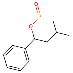 CC(C)CC(OP=O)c1ccccc1